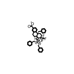 COC(=O)c1ccc2c(c1)CC[C@@H]1C[C@@](OP(=O)(OCc3ccccc3)OCc3ccccc3)(C(F)(F)F)CC[C@@]21Cc1ccccc1